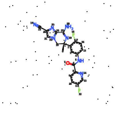 C[C@@]1(c2cc(NC(=O)c3ccc(F)cn3)ccc2F)Cn2cc(C#N)nc2C(N)=N1